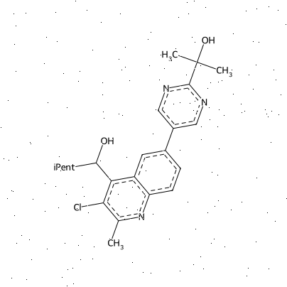 CCCC(C)C(O)c1c(Cl)c(C)nc2ccc(-c3cnc(C(C)(C)O)nc3)cc12